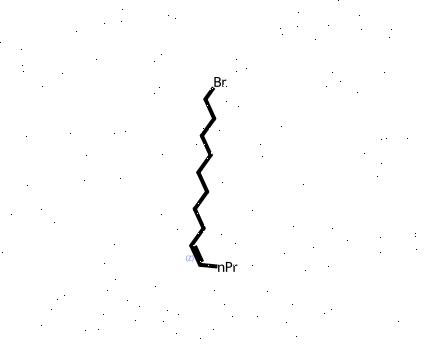 CCC/C=C\CCCCCCCCBr